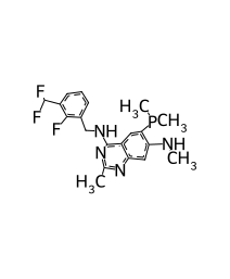 CNc1cc2nc(C)nc(NCc3cccc(C(F)F)c3F)c2cc1P(C)C